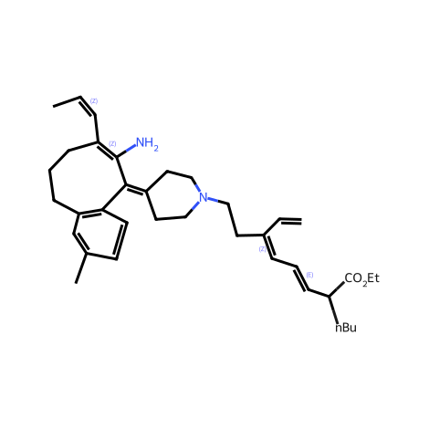 C=C/C(=C\C=C\C(CCCC)C(=O)OCC)CCN1CCC(=C2/C(N)=C(/C=C\C)CCCc3cc(C)ccc32)CC1